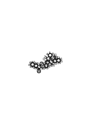 CC1(C)c2cccc3c2N2c4c(cc5ccccc5c4C3(C)C)C(C)(C)c3c2c1cc1cc(C=C2C(=O)c4cc5ccccc5cc4C2=O)ccc31